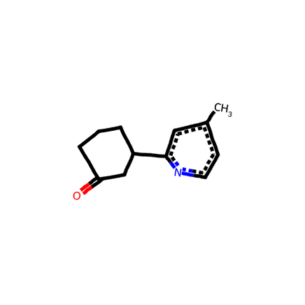 Cc1ccnc(C2CCCC(=O)C2)c1